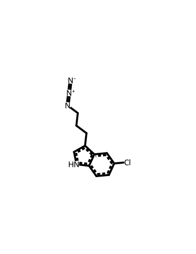 [N-]=[N+]=NCCCc1c[nH]c2ccc(Cl)cc12